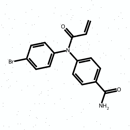 C=CC(=O)N(c1ccc(Br)cc1)c1ccc(C(N)=O)cc1